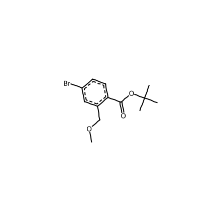 COCc1cc(Br)ccc1C(=O)OC(C)(C)C